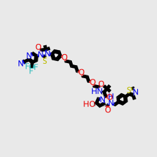 Cc1ncsc1-c1ccc(CNC(=O)[C@@H]2C[C@@H](O)CN2C(=O)[C@@H](NC(=O)COCCCOCCCCCOc2ccc(N3C(=S)N(c4cnc(C#N)c(C(F)(F)F)c4)C(=O)C3(C)C)cc2)C(C)(C)C)cc1